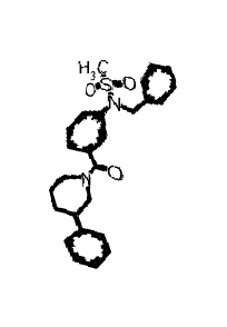 CS(=O)(=O)N(Cc1ccccc1)c1cccc(C(=O)N2CCCC(c3ccccc3)C2)c1